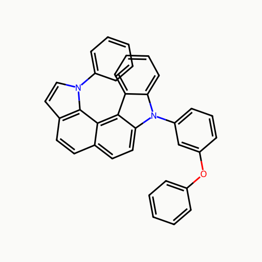 c1ccc(Oc2cccc(-n3c4ccccc4c4c5c(ccc6ccn(-c7ccccc7)c65)ccc43)c2)cc1